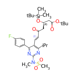 CC(C)c1nc(N(C)S(C)(=O)=O)nc(-c2ccc(F)cc2)c1/C=C/C(=O)C[C@H](CC(=O)OC(C)(C)C)O[Si](C)(C)C(C)(C)C